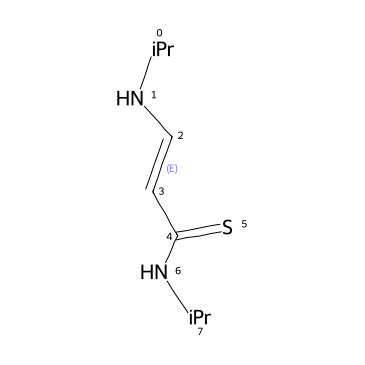 CC(C)N/C=C/C(=S)NC(C)C